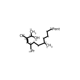 CCCC(C)CCCC(C)CCC(/C=C(/Cl)C(C)O)C(C)C